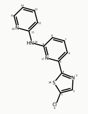 Clc1cnc(-c2cccc(Nc3ccccn3)n2)s1